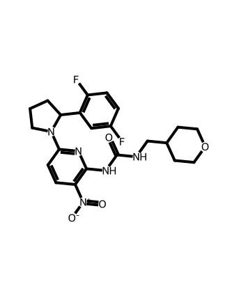 O=C(NCC1CCOCC1)Nc1nc(N2CCCC2c2cc(F)ccc2F)ccc1[N+](=O)[O-]